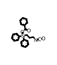 O=C=NCCC[Si](OC(=O)c1ccccc1)(c1ccccc1)c1ccccc1